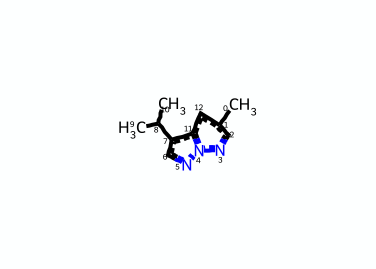 Cc1cnn2ncc(C(C)C)c2c1